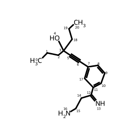 CCCC(O)(C#Cc1cccc(C(=N)CCN)c1)CCC